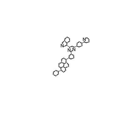 c1ccc(-c2ccc3ccc4c(-c5cccc(-c6nc(-c7ccc(-c8ccccn8)cc7)cc(-c7cncc8ccccc78)n6)c5)ccc5ccc2c3c54)cc1